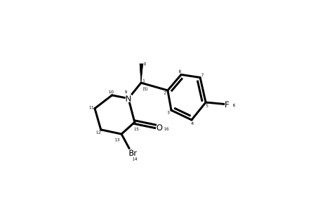 C[C@@H](c1ccc(F)cc1)N1CCCC(Br)C1=O